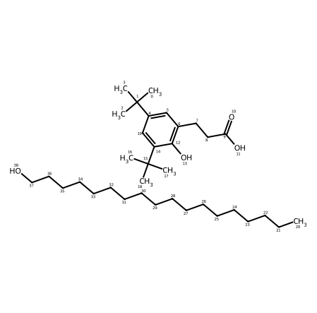 CC(C)(C)c1cc(CCC(=O)O)c(O)c(C(C)(C)C)c1.CCCCCCCCCCCCCCCCCCO